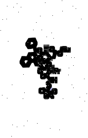 CC(C)[C@H](NC(=O)[C@H](Cc1cccc2ccccc12)NC(=O)[C@H](CC(=O)OC(C)(C)C)NC(=O)OCc1ccccc1)C(=O)NC/C=C(\Cl)S(C)(=O)=O